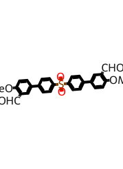 COc1ccc(-c2ccc(S(=O)(=O)c3ccc(-c4ccc(OC)c(C=O)c4)cc3)cc2)cc1C=O